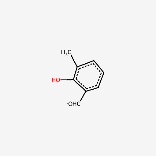 Cc1cccc([C]=O)c1O